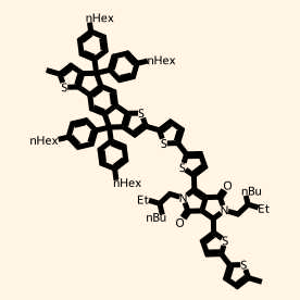 CCCCCCc1ccc(C2(c3ccc(CCCCCC)cc3)c3cc4c(cc3-c3sc(C)cc32)C(c2ccc(CCCCCC)cc2)(c2ccc(CCCCCC)cc2)c2cc(-c3ccc(-c5ccc(C6=C7C(=O)N(CC(CC)CCCC)C(c8ccc(-c9ccc(C)s9)s8)C7C(=O)N6CC(CC)CCCC)s5)s3)sc2-4)cc1